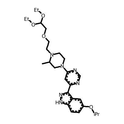 CCOC(COCCN1CCN(c2cc(-c3n[nH]c4ccc(OC(C)C)cc34)ncn2)CC1C)OCC